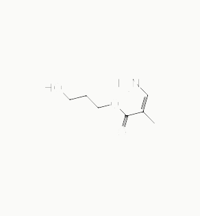 CC(=CN)C(=O)OCCCO